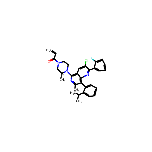 C=CC(=O)N1CCN(c2nc(C)c(-c3ccccc3C(C)C)c3nc(-c4ccccc4F)c(Cl)cc23)[C@@H](C)C1